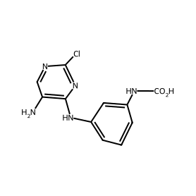 Nc1cnc(Cl)nc1Nc1cccc(NC(=O)O)c1